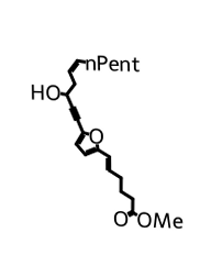 CCCCC/C=C\CC(O)C#Cc1ccc(C=CCCCC(=O)OC)o1